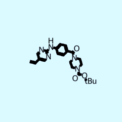 C=Cc1cnc(Nc2ccc(C(=O)N3CCN(C(=O)OC(C)(C)C)CC3)cc2)nc1